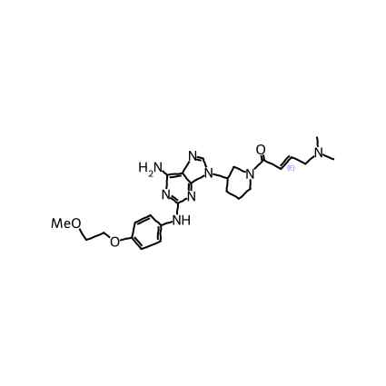 COCCOc1ccc(Nc2nc(N)c3ncn(C4CCCN(C(=O)/C=C/CN(C)C)C4)c3n2)cc1